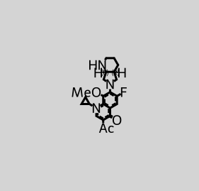 COc1c(N2C[C@H]3CCCN[C@H]3C2)c(F)cc2c(=O)c(C(C)=O)cn(C3CC3)c12